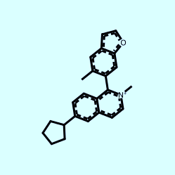 Cc1cc2ccoc2cc1-c1c2ccc(C3CCCC3)cc2cc[n+]1C